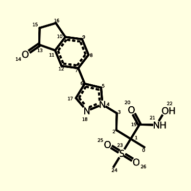 CC(CCn1cc(-c2ccc3c(c2)C(=O)CC3)cn1)(C(=O)NO)S(C)(=O)=O